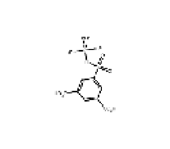 CCC[PH](CCC)(CCC)OS(=O)(=O)c1cc(C(=O)O)cc(C(=O)O)c1